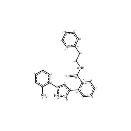 Nc1ccccc1-c1cc(-c2ccccc2C(=O)NCCc2ccccn2)n[nH]1